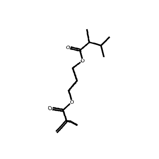 C=C(C)C(=O)OCCCOC(=O)C(C)C(C)C